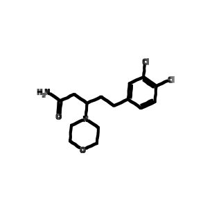 NC(=O)CC(CCc1ccc(Cl)c(Cl)c1)N1CCOCC1